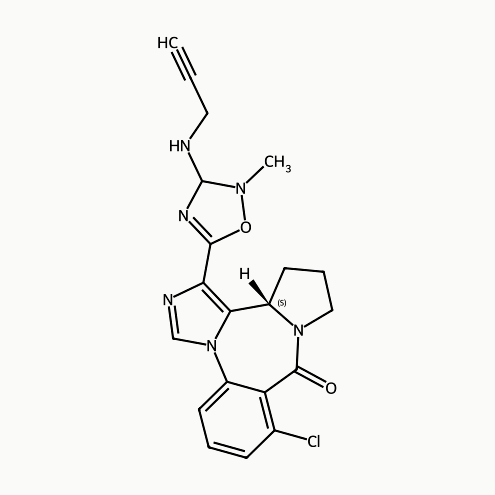 C#CCNC1N=C(c2ncn3c2[C@@H]2CCCN2C(=O)c2c(Cl)cccc2-3)ON1C